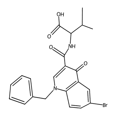 CC(C)C(NC(=O)c1cn(Cc2ccccc2)c2ccc(Br)cc2c1=O)C(=O)O